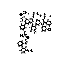 CNCC=C(Oc1ccc(C#N)cc1)c1ccccc1.CNCC=C(Oc1ccc(Cl)cc1)c1ccccc1.CNCC=C(Oc1cccc(Cl)c1)c1ccccc1.CNCC=C(Oc1ccccc1C)c1ccccc1